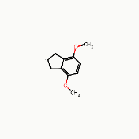 COc1ccc(OC)c2c1C[CH]C2